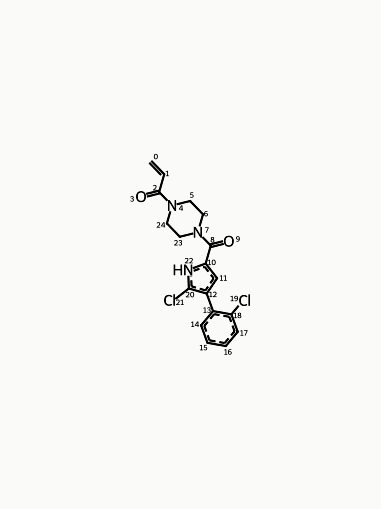 C=CC(=O)N1CCN(C(=O)c2cc(-c3ccccc3Cl)c(Cl)[nH]2)CC1